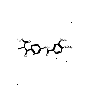 COc1ccc(C(=O)Nc2ccc(C(O)C(C)C(N)=O)cc2)cc1OC